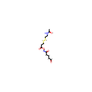 CC(=O)NCCSSCCC(=O)O[N]C(=O)CCCC=O